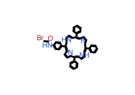 O=C(CBr)Nc1ccc(-c2c3nc(c(-c4ccccc4)c4ccc([nH]4)c(-c4ccccc4)c4nc(c(-c5ccccc5)c5ccc2[nH]5)C=C4)C=C3)cc1